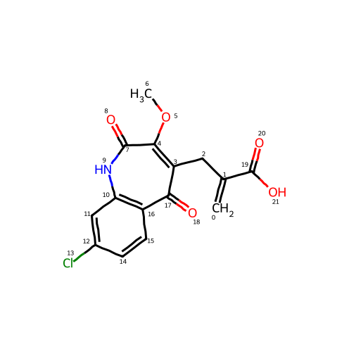 C=C(Cc1c(OC)c(=O)[nH]c2cc(Cl)ccc2c1=O)C(=O)O